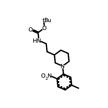 Cc1ccc([N+](=O)[O-])c(N2CCCC(CCNC(=O)OC(C)(C)C)C2)c1